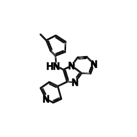 Cc1cccc(Nc2c(-c3ccncc3)nc3cnccn23)c1